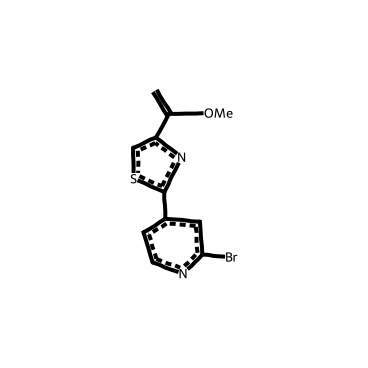 C=C(OC)c1csc(-c2ccnc(Br)c2)n1